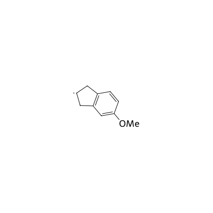 COc1ccc2c(c1)C[CH]C2